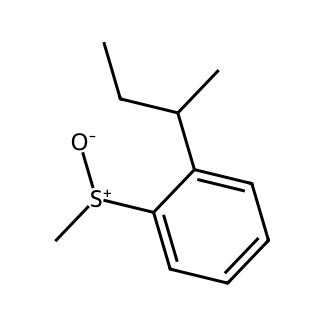 CCC(C)c1ccccc1[S+](C)[O-]